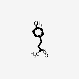 C=C(CCc1ccc(C)cc1)N=O